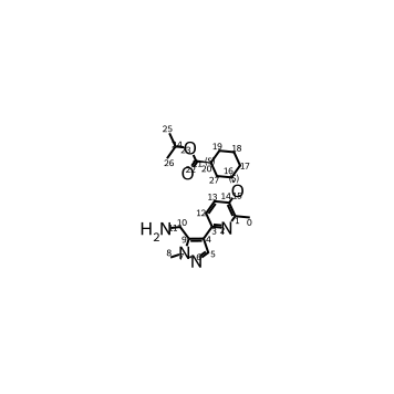 Cc1nc(-c2cnn(C)c2CN)ccc1O[C@H]1CCC[C@H](C(=O)OC(C)C)C1